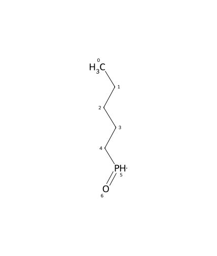 CCCCC[PH]=O